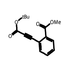 COC(=O)c1ccccc1C#CC(=O)OC(C)(C)C